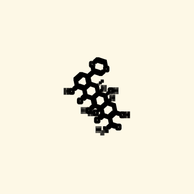 C[C@H]1c2c(C3=COC=CO3)ccc(O)c2C(=O)C2=C(O)[C@]3(O)C(=O)C(C(N)=O)=C(O)C[C@@H]3[C@@H](O)[C@@H]21